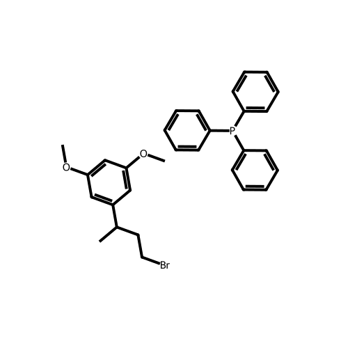 COc1cc(OC)cc(C(C)CCBr)c1.c1ccc(P(c2ccccc2)c2ccccc2)cc1